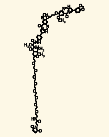 COc1cc2c(cc1OCCCOc1cc3c(cc1OC)C(=O)N1C=C(c4ccc5c(c4)OCO5)C[C@H]1C=N3)N=C[C@@H]1CC(c3ccc(NC(=O)[C@H](C)NC(=O)C(CC(=O)CCOCCOCCOCCOCCOCCOCCOCCOCCNC(=O)CCN4C(=O)C=CC4=O)C(C)C)cc3)=CN1C2=O